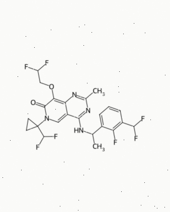 Cc1nc(NC(C)c2cccc(C(F)F)c2F)c2cn(C3(C(F)F)CC3)c(=O)c(OCC(F)F)c2n1